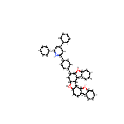 c1ccc(-c2cc(-c3ccccc3)nc(-c3ccc(-c4cc5oc6ccc7c8ccccc8oc7c6c5c5c4oc4ccccc45)cc3)c2)cc1